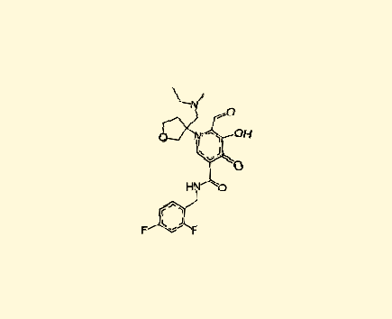 CCN(C)CC1(n2cc(C(=O)NCc3ccc(F)cc3F)c(=O)c(O)c2C=O)CCOC1